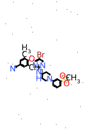 Cc1cc(C#N)cc(C)c1Oc1nc(NC2CCN(c3cccc(S(C)(=O)=O)c3)CC2)ncc1Br